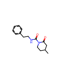 CC1CCN(C(=O)NCCc2ccccc2)C(=O)C1